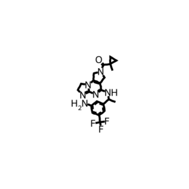 CC(NC1=NC2=NCCN2C2=C1CN(C(=O)C1(C)CC1)C2)c1cc(N)cc(C(F)(F)F)c1